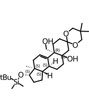 CC1(C)COC2(CC[C@]3(CO)C4=CC[C@]5(C)[C@@H](O[Si](C)(C)C(C)(C)C)CC[C@H]5[C@@H]4CC[C@@]3(O)C2)OC1